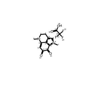 CN1CCc2cn(C)c3c2C1=CC(=O)C3=O.O=C(O)C(F)(F)F